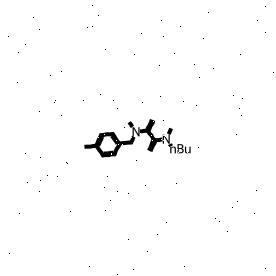 C=C(C(=C)N(C)Cc1ccc(C)cc1)N(C)CCCC